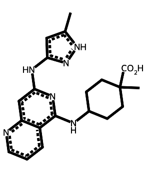 Cc1cc(Nc2cc3ncccc3c(NC3CCC(C)(C(=O)O)CC3)n2)n[nH]1